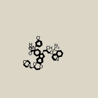 C[C@@H](COc1ccnc2c1[C@H](C)CCC2)C[C@H]1Cc2cc3c(cc2C12CCC(Nc1cccc(Cl)c1)(C(=O)O)CC2)O[C@H](CN1CCOCC1)CCO3